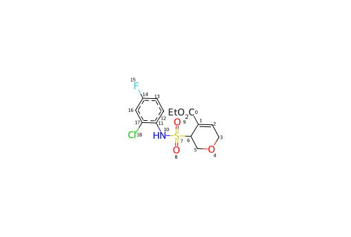 CCOC(=O)C1=CCOCC1S(=O)(=O)Nc1ccc(F)cc1Cl